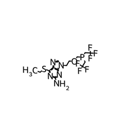 CCSc1nc(N)nc2c1ncn2CCOCP(CC(F)(F)F)CC(F)(F)F